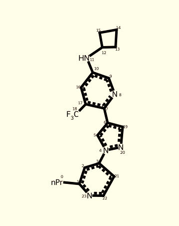 CCCc1cc(-n2cc(-c3ncc(NC4CCC4)cc3C(F)(F)F)cn2)ccn1